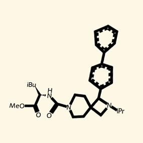 CC[C@H](C)[C@H](NC(=O)N1CCC2(CC1)CN(C(C)C)C2c1ccc(-c2ccccc2)cc1)C(=O)OC